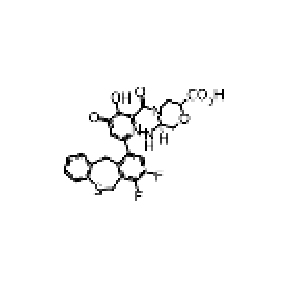 O=C(O)C1CN2C(=O)c3c(O)c(=O)cc(-c4cc(F)c(F)c5c4Cc4ccccc4SC5)n3N[C@@H]2CO1